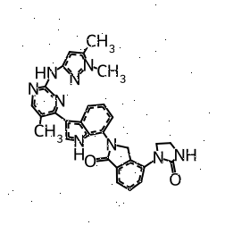 Cc1cnc(Nc2cc(C)n(C)n2)nc1-c1c[nH]c2c(N3Cc4c(cccc4N4CCNC4=O)C3=O)cccc12